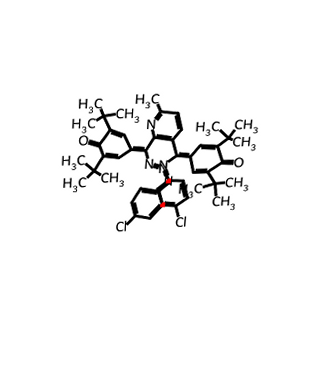 Cc1ccc(C(/N=N/c2ccc(Cl)cc2)=C2C=C(C(C)(C)C)C(=O)C(C(C)(C)C)=C2)c(C(/N=N/c2ccc(Cl)cc2)=C2C=C(C(C)(C)C)C(=O)C(C(C)(C)C)=C2)n1